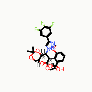 COc1cccc(C(=O)O)c1[C@@H]1[C@H](n2cc(-c3cc(F)c(F)c(F)c3)nn2)[C@H]2OC(C)(C)OC[C@H]2O[C@@]12CCCO2